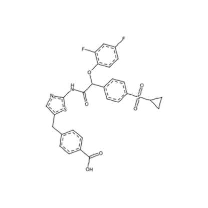 O=C(O)c1ccc(Cc2cnc(NC(=O)C(Oc3ccc(F)cc3F)c3ccc(S(=O)(=O)C4CC4)cc3)s2)cc1